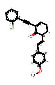 O=C1C(C#Cc2ccccc2F)=CCCC1/C=C/c1ccc(OC(F)(F)F)cc1